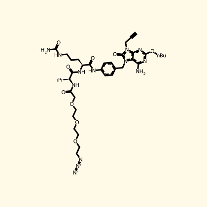 C#CCn1c(=O)n(Cc2ccc(NC(=O)[C@H](CCCNC(N)=O)NC(=O)[C@@H](NC(=O)COCCOCCOCCN=[N+]=[N-])C(C)C)cc2)c2c(N)nc(OCCCC)nc21